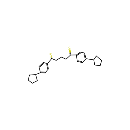 S=C(CCCC(=S)c1ccc(C2CCCC2)cc1)c1ccc(C2CCCC2)cc1